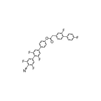 N#Cc1c(F)cc(-c2c(F)cc(-c3ccc(OC(=O)Cc4ccc(-c5ccc(F)cc5)c(F)c4)cc3)cc2F)cc1F